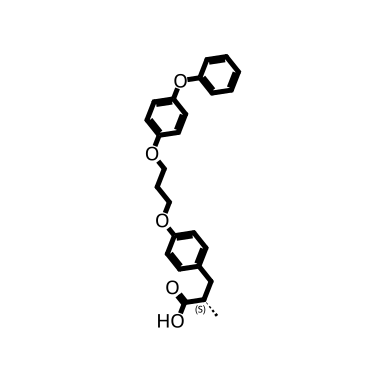 C[C@@H](Cc1ccc(OCCCOc2ccc(Oc3ccccc3)cc2)cc1)C(=O)O